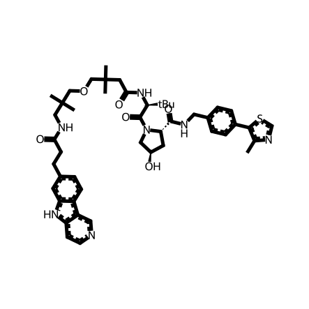 Cc1ncsc1-c1ccc(CNC(=O)[C@@H]2C[C@@H](O)CN2C(=O)[C@@H](NC(=O)CC(C)(C)COCC(C)(C)CNC(=O)CCc2ccc3c(c2)[nH]c2ccncc23)C(C)(C)C)cc1